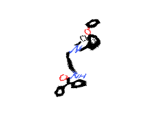 CCN(CCCNC(=O)C(c1ccccc1)c1ccccc1)Cc1cccc(Oc2ccccc2)c1